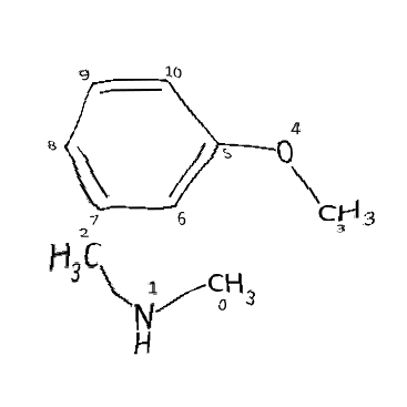 CNC.COc1ccccc1